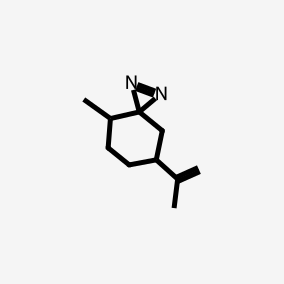 C=C(C)C1CCC(C)C2(C1)N=N2